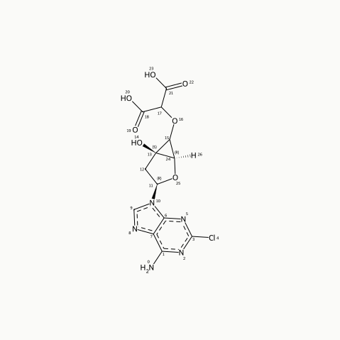 Nc1nc(Cl)nc2c1ncn2[C@H]1C[C@]2(O)C(OC(C(=O)O)C(=O)O)[C@H]2O1